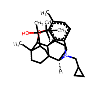 Cc1ccc2c3c1OC1C4(C)CCC5(CC4C(C)(O)C(C)(C)C)[C@@H](C2)N(CC2CC2)CC[C@]315